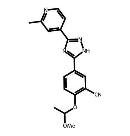 COC(C)Oc1ccc(-c2nc(-c3ccnc(C)c3)n[nH]2)cc1C#N